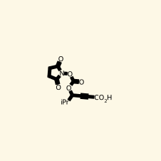 CC(C)C(C#CC(=O)O)OC(=O)ON1C(=O)CCC1=O